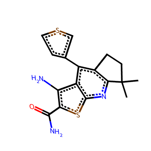 CC1(C)CCc2c1nc1sc(C(N)=O)c(N)c1c2-c1ccsc1